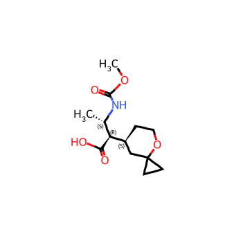 COC(=O)N[C@@H](C)[C@H](C(=O)O)[C@H]1CCOC2(CC2)C1